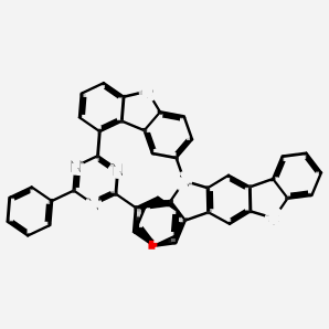 c1ccc(-c2nc(-c3ccccc3)nc(-c3cccc4oc5ccc(-n6c7ccccc7c7cc8oc9ccccc9c8cc76)cc5c34)n2)cc1